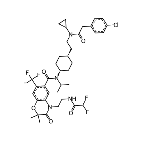 CC(C)N(C(=O)c1cc2c(cc1C(F)(F)F)OC(C)(C)C(=O)N2CCNC(=O)C(F)F)[C@H]1CC[C@@H](CCN(C(=O)Cc2ccc(Cl)cc2)C2CC2)CC1